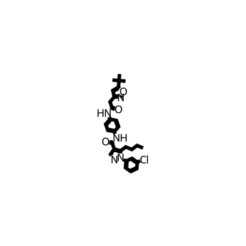 CCCCc1c(C(=O)Nc2ccc(NC(=O)Cc3cc(C(C)(C)C)on3)cc2)cnn1-c1cccc(Cl)c1